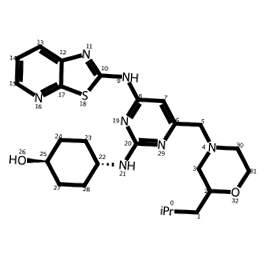 CC(C)CC1CN(Cc2cc(Nc3nc4cccnc4s3)nc(N[C@H]3CC[C@H](O)CC3)n2)CCO1